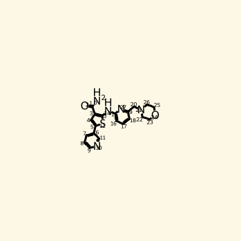 NC(=O)c1cc(-c2cccnc2)sc1Nc1cccc(CN2CCOCC2)n1